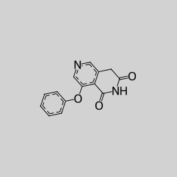 O=C1Cc2cncc(Oc3ccccc3)c2C(=O)N1